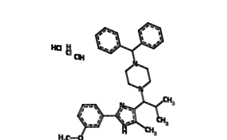 COc1cccc(-c2nc(C(C(C)C)N3CCN(C(c4ccccc4)c4ccccc4)CC3)c(C)[nH]2)c1.Cl.Cl.Cl